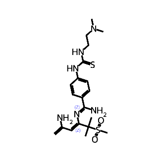 C=C(N)/C=C(\N=C(/N)c1ccc(NC(=S)NCCN(C)C)cc1)C(C)(C)S(C)(=O)=O